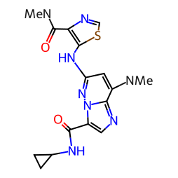 CNC(=O)c1ncsc1Nc1cc(NC)c2ncc(C(=O)NC3CC3)n2n1